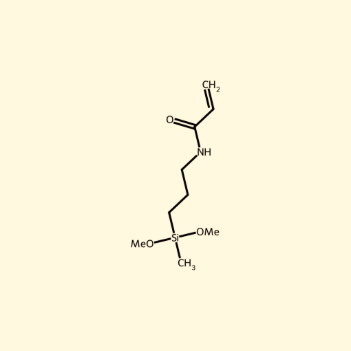 C=CC(=O)NCCC[Si](C)(OC)OC